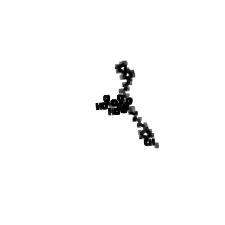 Cc1ccc(CCCCCCCNC(=O)C(OCCCCCc2ccc3ccccc3c2)C(OCC(=O)O)C(=O)O)cc1